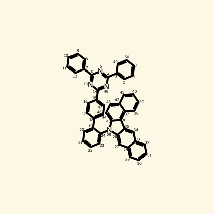 c1ccc(-c2nc(-c3ccccc3)nc(-c3ccc(-c4ccccc4-n4c5cc6ccccc6cc5c5c6ccccc6ccc54)cc3)n2)cc1